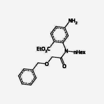 CCCCCCN(C(=O)COCc1ccccc1)c1cc(N)ccc1C(=O)OCC